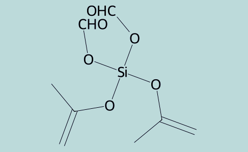 C=C(C)O[Si](OC=O)(OC=O)OC(=C)C